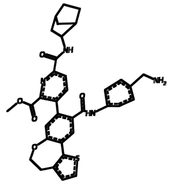 COC(=O)c1nc(C(=O)NC2CC3CCC2C3)ccc1-c1cc2c(cc1C(=O)Nc1ccc(CN)cc1)-c1sccc1CCO2